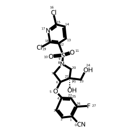 N#Cc1ccc(OC2CN(S(=O)(=O)c3ccc(Cl)nc3Cl)C[C@@]2(O)CO)cc1F